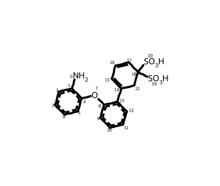 Nc1ccccc1Oc1ccccc1C1=CC=CC(S(=O)(=O)O)(S(=O)(=O)O)C1